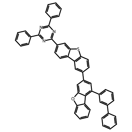 c1ccc(-c2cccc(-c3cc(-c4ccc5sc6cc(-c7nc(-c8ccccc8)nc(-c8ccccc8)n7)ccc6c5c4)cc4oc5ccccc5c34)c2)cc1